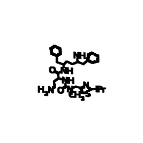 CC(C)c1nc(CN(C)C(=O)NC(CCN)C(=O)NC(CCC(N)Cc2ccccc2)Cc2ccccc2)cs1